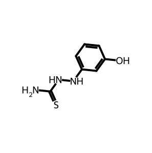 NC(=S)NNc1cccc(O)c1